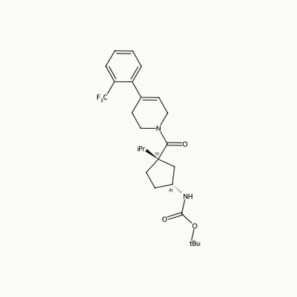 CC(C)[C@]1(C(=O)N2CC=C(c3ccccc3C(F)(F)F)CC2)CC[C@@H](NC(=O)OC(C)(C)C)C1